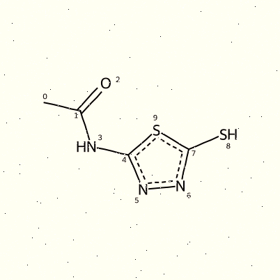 CC(=O)Nc1nnc(S)s1